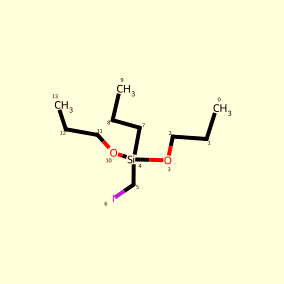 CCCO[Si](CI)(CCC)OCCC